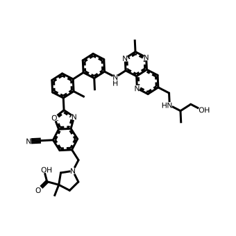 Cc1nc(Nc2cccc(-c3cccc(-c4nc5cc(CN6CCC(C)(C(=O)O)C6)cc(C#N)c5o4)c3C)c2C)c2ncc(CNC(C)CO)cc2n1